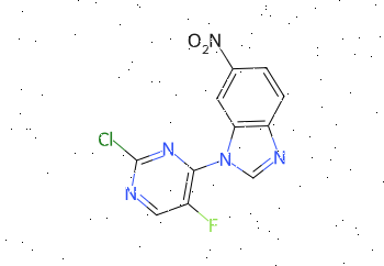 O=[N+]([O-])c1ccc2ncn(-c3nc(Cl)ncc3F)c2c1